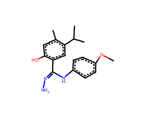 COc1ccc(N/C(=N\N)c2cc(C(C)C)c(C)cc2O)cc1